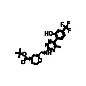 Cc1nc(NC[C@H]2CN(C(=O)OC(C)(C)C)CCO2)nnc1-c1ccc(C(F)(F)F)cc1O